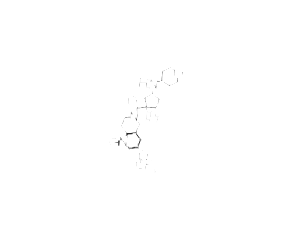 CC(C)[C@]1(C(=O)N2CCc3c(cc(OC(F)(F)F)c[n+]3[O-])C2)CC[C@@H](NC2CCOCC2)C1